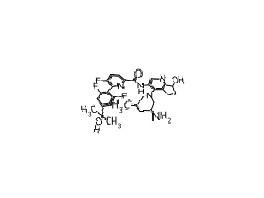 CC1CC(N)CN(c2c(NC(=O)c3ccc(F)c(-c4c(F)cc(C(C)(C)O)cc4F)n3)cnc3c2CCC3O)C1